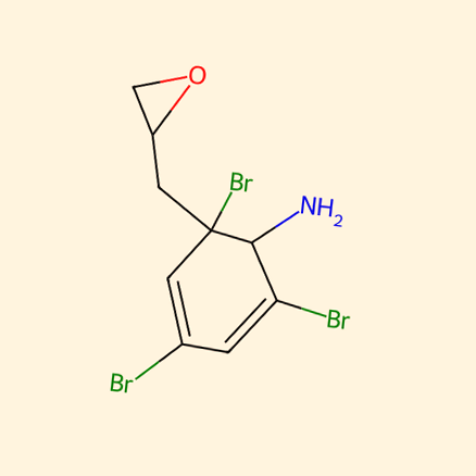 NC1C(Br)=CC(Br)=CC1(Br)CC1CO1